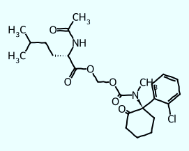 CC(=O)N[C@@H](CCC(C)C)C(=O)OCOC(=O)N(C)[C@@]1(c2ccccc2Cl)CCCCC1=O